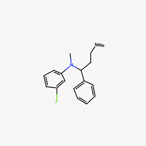 CNCCC(c1ccccc1)N(C)c1cccc(F)c1